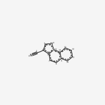 N#Cc1cnn2c1ccc1ccccc12